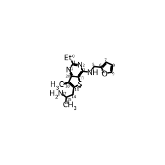 CCc1nc(NCc2ccco2)c2sc(CC(C)N)c(C)c2n1